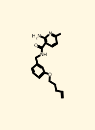 C=CCCCOc1cccc(CNC(=O)c2ccc(C)nc2N)c1